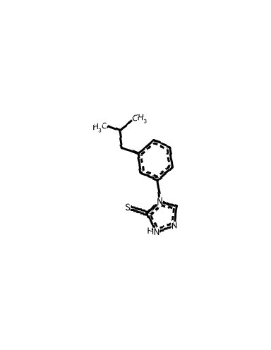 CC(C)Cc1cccc(-n2cn[nH]c2=S)c1